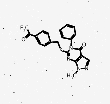 Cn1ncc2c(=O)n(-c3ccccc3)c(SCc3ccc(C(=O)C(F)(F)F)cc3)nc21